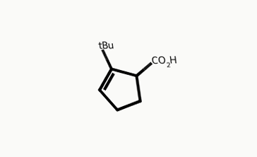 CC(C)(C)C1=CCCC1C(=O)O